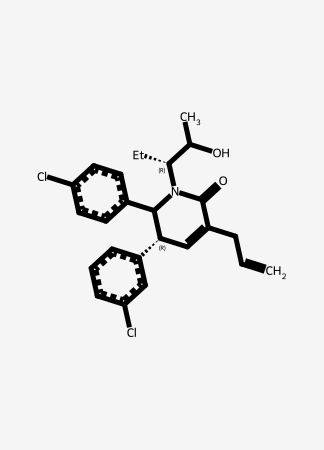 C=CCC1=C[C@H](c2cccc(Cl)c2)C(c2ccc(Cl)cc2)N([C@H](CC)C(C)O)C1=O